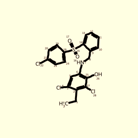 CCc1c(Cl)cc(NCc2ccccc2S(=O)(=O)c2ccc(Cl)cc2)c(O)c1Cl